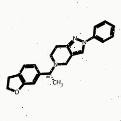 C[C@H](c1ccc2c(c1)OCC2)N1CCc2nn(-c3ccccc3)cc2C1